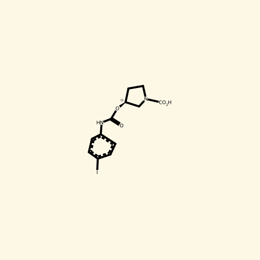 O=C(Nc1ccc(I)cc1)O[C@H]1CCN(C(=O)O)C1